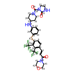 O=C(C=Cc1ccc(Sc2cccc(NC3CCN(C(=O)N4CCNC4=O)CC3)c2)c(C(F)(F)F)c1C(F)(F)F)N1CCOCC1